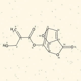 C=C(CO)C(=O)Oc1c2c3oc1cc3C(=O)O2